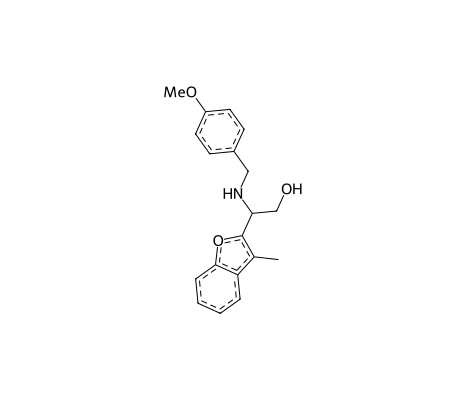 COc1ccc(CNC(CO)c2oc3ccccc3c2C)cc1